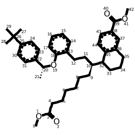 COC(=O)CCCCCC[C@@H](CCc1ccccc1O[C@H](C)c1ccc(C(C)(C)C)cc1)C1CCCc2cc(C(=O)OC)ccc21